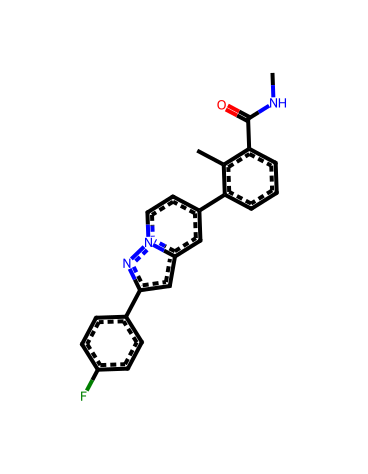 CNC(=O)c1cccc(-c2ccn3nc(-c4ccc(F)cc4)cc3c2)c1C